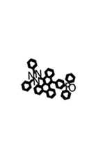 O=P(c1ccccc1)(c1ccccc1)c1ccc(-c2c3ccccc3c(-c3nc(-c4ccccc4)nc(-c4ccccc4)n3)c3c4ccccc4c4ccccc4c23)cc1